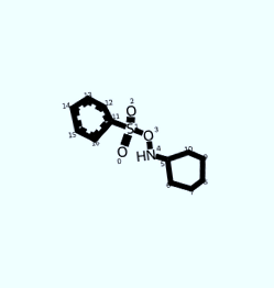 O=S(=O)(ONC1CCCCC1)c1ccccc1